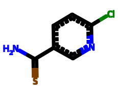 NC(=S)c1ccc(Cl)nc1